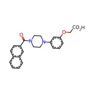 O=C(O)COc1cccc(N2CCN(C(=O)c3ccc4ccccc4c3)CC2)c1